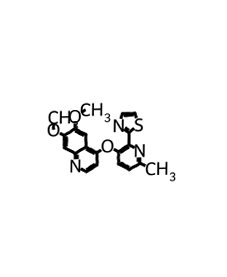 COc1cc2nccc(Oc3ccc(C)nc3-c3nccs3)c2cc1OC